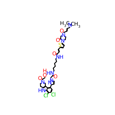 CN(C)CC=CC(=O)N1CCN(c2ccc(/C=C/C(=O)NCCCCCCNC(=O)Cn3ccc(-c4cc(Cl)c(Cl)c5[nH]c6c(c45)CN(C(=O)CO)CC6)n3)s2)C(=O)C1